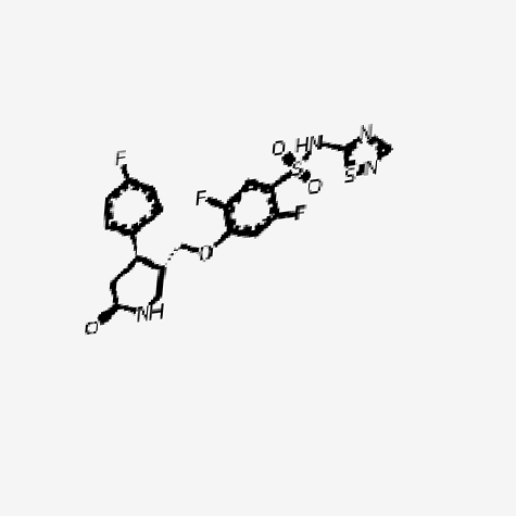 O=C1C[C@@H](c2ccc(F)cc2)[C@H](COc2cc(F)c(S(=O)(=O)Nc3ncns3)cc2F)CN1